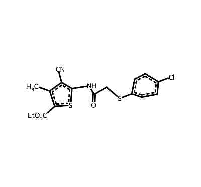 CCOC(=O)c1sc(NC(=O)CSc2ccc(Cl)cc2)c(C#N)c1C